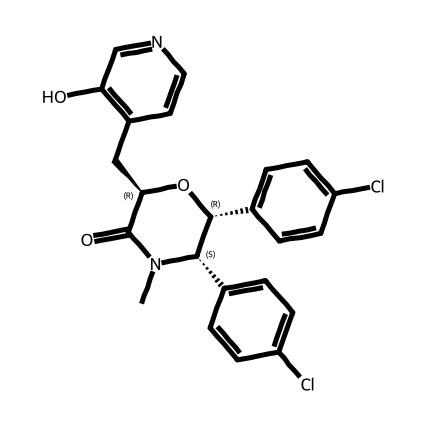 CN1C(=O)[C@@H](Cc2ccncc2O)O[C@H](c2ccc(Cl)cc2)[C@@H]1c1ccc(Cl)cc1